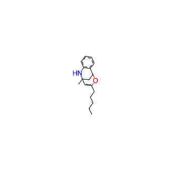 CCCCCC1=CC2(C)CC(O1)c1ccccc1N2